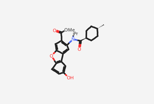 COC(=O)c1cc2oc3ccc(O)cc3c2cc1N(C(=O)[C@H]1CC[C@H](C)CC1)C(C)C